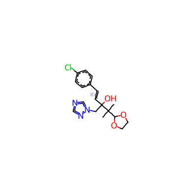 CC(C)(C1OCCO1)C(O)(/C=C/c1ccc(Cl)cc1)Cn1cncn1